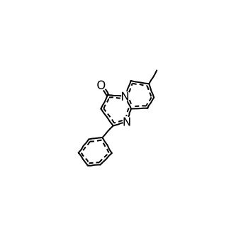 Cc1ccc2nc(-c3ccccc3)cc(=O)n2c1